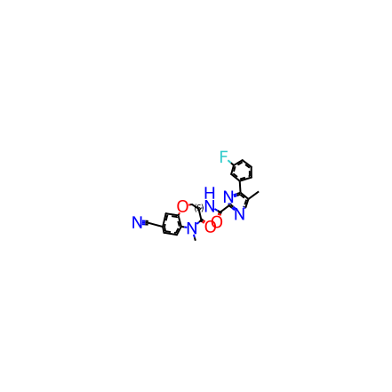 Cc1cnc(C(=O)N[C@H]2COc3cc(C#N)ccc3N(C)C2=O)nc1-c1cccc(F)c1